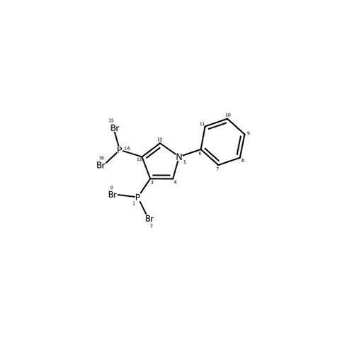 BrP(Br)c1cn(-c2ccccc2)cc1P(Br)Br